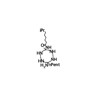 CCCCCC1(N)CNCCNCC(C)(NC(=O)CCCCCC(C)C)CNCCNC1